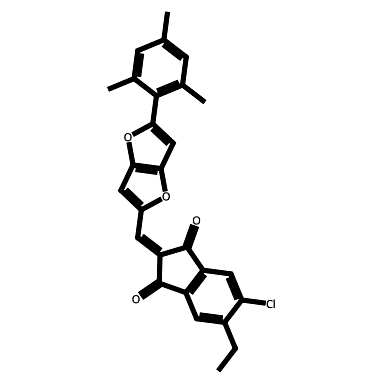 CCc1cc2c(cc1Cl)C(=O)/C(=C\c1cc3oc(-c4c(C)cc(C)cc4C)cc3o1)C2=O